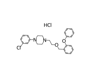 Cl.Clc1cccc(N2CCN(CCOCc3ccccc3Oc3ccccc3)CC2)c1